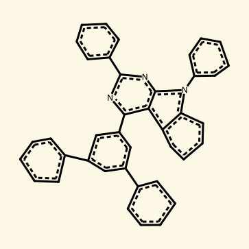 c1ccc(-c2cc(-c3ccccc3)cc(-c3nc(-c4ccccc4)nc4c3c3ccccc3n4-c3ccccc3)c2)cc1